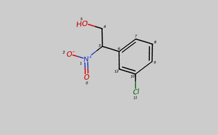 O=[N+]([O-])C(CO)c1cccc(Cl)c1